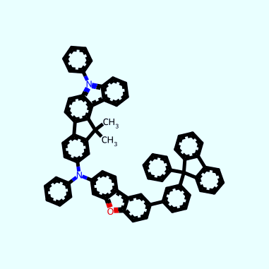 CC1(C)c2cc(N(c3ccccc3)c3ccc4c(c3)oc3ccc(-c5cccc(C6(c7ccccc7)c7ccccc7-c7ccccc76)c5)cc34)ccc2-c2ccc3c(c21)c1ccccc1n3-c1ccccc1